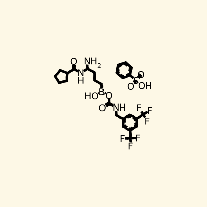 NC(CCCB(O)OC(=O)NCc1cc(C(F)(F)F)cc(C(F)(F)F)c1)NC(=O)C1CCCC1.O=S(=O)(O)c1ccccc1